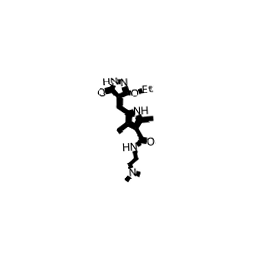 CCOC1=NNC(=O)/C1=C/c1[nH]c(C)c(C(=O)NCCN(C)C)c1C